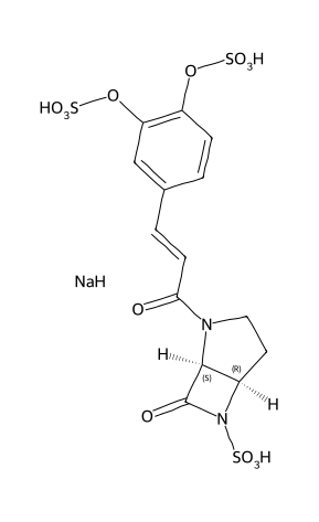 O=C(C=Cc1ccc(OS(=O)(=O)O)c(OS(=O)(=O)O)c1)N1CC[C@@H]2[C@H]1C(=O)N2S(=O)(=O)O.[NaH]